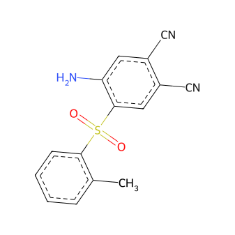 Cc1ccccc1S(=O)(=O)c1cc(C#N)c(C#N)cc1N